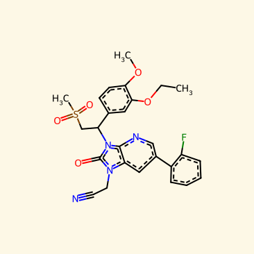 CCOc1cc(C(CS(C)(=O)=O)n2c(=O)n(CC#N)c3cc(-c4ccccc4F)cnc32)ccc1OC